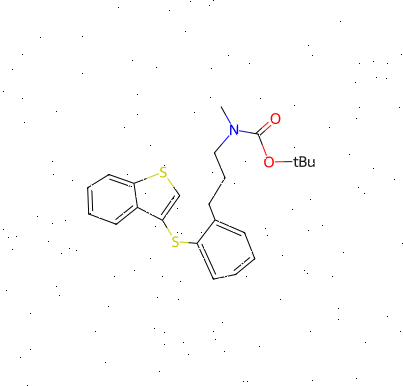 CN(CCCc1ccccc1Sc1csc2ccccc12)C(=O)OC(C)(C)C